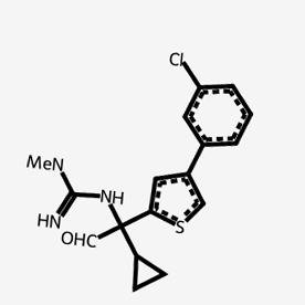 CNC(=N)NC(C=O)(c1cc(-c2cccc(Cl)c2)cs1)C1CC1